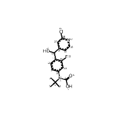 CC(C)(C)N(C(=O)O)c1ccc(C(O)c2ccnc(Cl)c2)c(F)c1